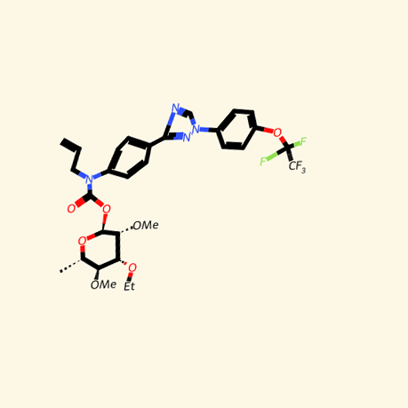 C=CCN(C(=O)O[C@@H]1O[C@@H](C)[C@H](OC)[C@@H](OCC)[C@H]1OC)c1ccc(-c2ncn(-c3ccc(OC(F)(F)C(F)(F)F)cc3)n2)cc1